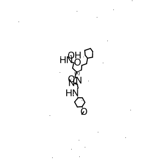 CO[C@H]1CC[C@H](NCc2noc([C@H](CCCC3CCCCC3)CC(=O)NO)n2)CC1